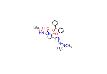 CN(C)/C=N/c1ncc(C2=C(C(=O)OC(c3ccccc3)c3ccccc3)N3C(=O)C(NC(=O)OC(C)(C)C)C3SC2)s1